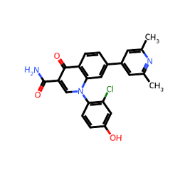 Cc1cc(-c2ccc3c(=O)c(C(N)=O)cn(-c4ccc(O)cc4Cl)c3c2)cc(C)n1